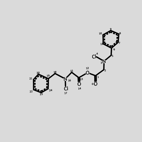 O=C(CN(Cl)Cc1ccccc1)OC(=O)CN(Cl)Cc1ccccc1